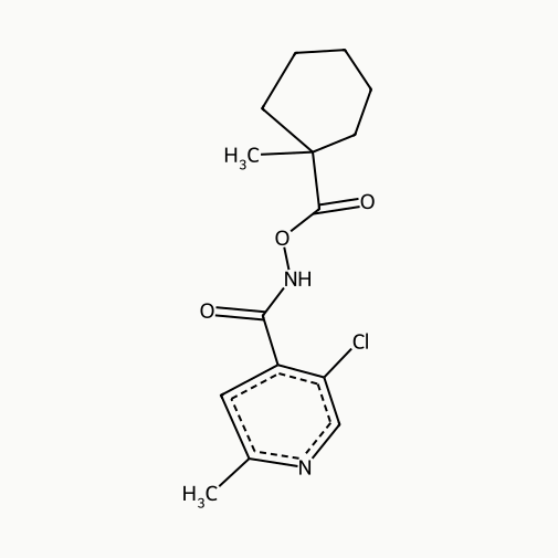 Cc1cc(C(=O)NOC(=O)C2(C)CCCCC2)c(Cl)cn1